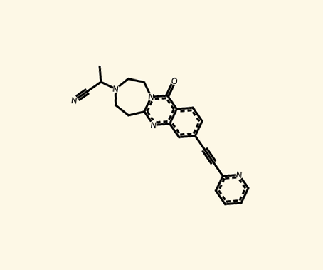 CC(C#N)N1CCc2nc3cc(C#Cc4ccccn4)ccc3c(=O)n2CC1